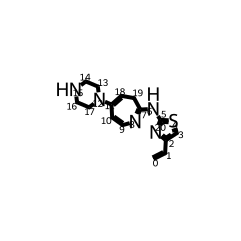 C=Cc1csc(NC2=NC=CC(N3CCNCC3)=CC2)n1